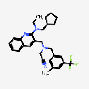 CCN(CC1CCCC1)c1nc2ccccc2cc1CN(CC#N)Cc1cc(C)cc(C(F)(F)F)c1